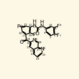 O=C(Nc1ccc(F)c(F)c1)Nc1cc(F)cc(C(=O)c2cc3cccnc3cn2)c1F